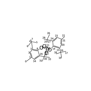 Cc1cc(C(C)(C)C)c([O][Zr]([Cl])([Cl])[O]c2c(C(C)(C)C)cc(C)cc2C(C)(C)C)c(C(C)(C)C)c1